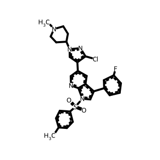 Cc1ccc(S(=O)(=O)n2cc(-c3cccc(F)c3)c3cc(-c4cn(C5CCN(C)CC5)nc4Cl)cnc32)cc1